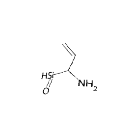 C=CC(N)[SiH]=O